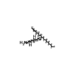 CCCCCCCCCC(CCCCCCCC)OCCNCCNCCN